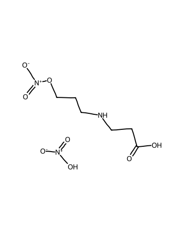 O=C(O)CCNCCCO[N+](=O)[O-].O=[N+]([O-])O